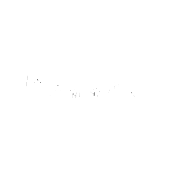 CN(C)CCCOc1ccc(CCn2cc(CCCc3cn(CCc4ccc(OCCCN(C)C)c(Br)c4)nn3)nn2)cc1Br